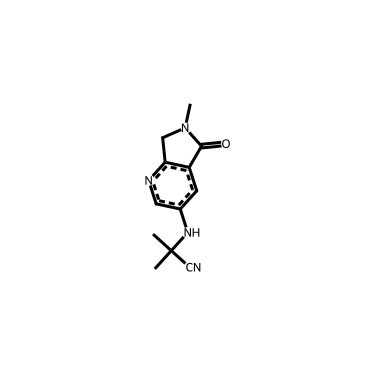 CN1Cc2ncc(NC(C)(C)C#N)cc2C1=O